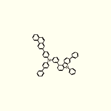 C1=Cc2c(c3ccc(-c4ccccc4)cc3n2-c2ccccc2)C(c2cccc(N(c3ccc(-c4ccccc4)cc3)c3ccc(-c4ccc5c(ccc6ccccc65)c4)cc3)c2)C1